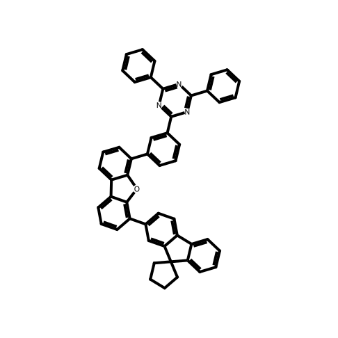 c1ccc(-c2nc(-c3ccccc3)nc(-c3cccc(-c4cccc5c4oc4c(-c6ccc7c(c6)C6(CCCC6)c6ccccc6-7)cccc45)c3)n2)cc1